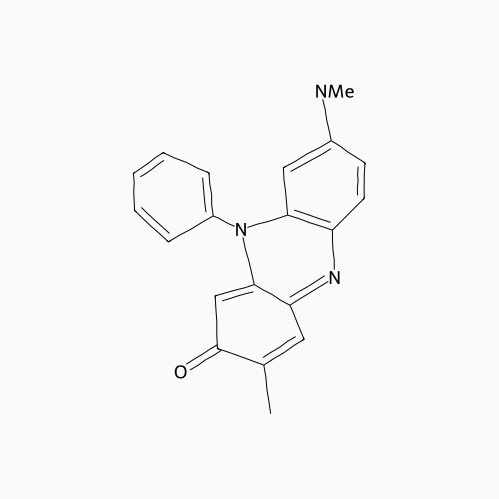 CNc1ccc2nc3cc(C)c(=O)cc-3n(-c3ccccc3)c2c1